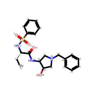 CC(C)C[C@H](NS(=O)(=O)c1ccccc1)C(=O)NC1CN(Cc2ccccc2)CC1O